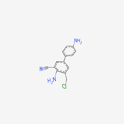 N#Cc1cc(-c2ccc(N)cc2)cc(CCl)c1N